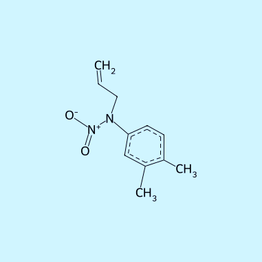 C=CCN(c1ccc(C)c(C)c1)[N+](=O)[O-]